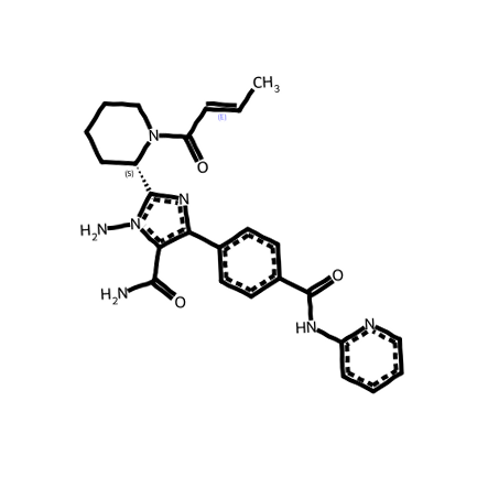 C/C=C/C(=O)N1CCCC[C@H]1c1nc(-c2ccc(C(=O)Nc3ccccn3)cc2)c(C(N)=O)n1N